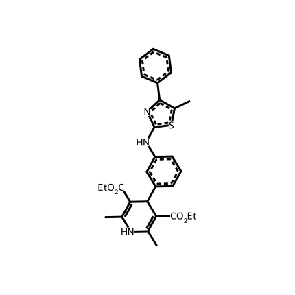 CCOC(=O)C1=C(C)NC(C)=C(C(=O)OCC)C1c1cccc(Nc2nc(-c3ccccc3)c(C)s2)c1